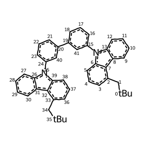 CC(C)(C)Cc1cccc2c1c1ccccc1n2-c1cccc(-c2cccc(-n3c4ccccc4c4c(CC(C)(C)C)cccc43)c2)c1